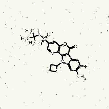 Cc1cc2c(cc1F)c1c(=O)oc3cc(S(=O)(=O)NC(C)(C)C)cnc3c1n2C1CCC1